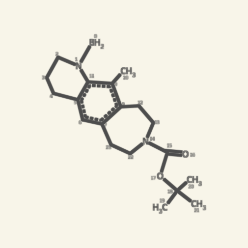 BN1CCCc2cc3c(c(C)c21)CCN(C(=O)OC(C)(C)C)CC3